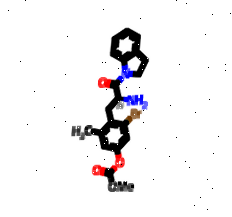 COC(=O)Oc1cc(C)c(C[C@H](N)C(=O)N2CCc3ccccc32)c(Br)c1